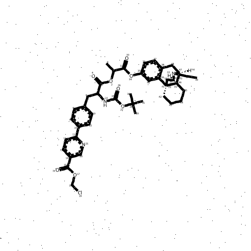 CC(OC(=O)C(Cc1ccc(-c2ccc(C(=O)OCCl)cn2)cc1)NC(=O)OC(C)(C)C)C(=O)Oc1ccc2c(c1)[C@]13CCCC[C@@H]1[C@H](C2)N(C)CC3